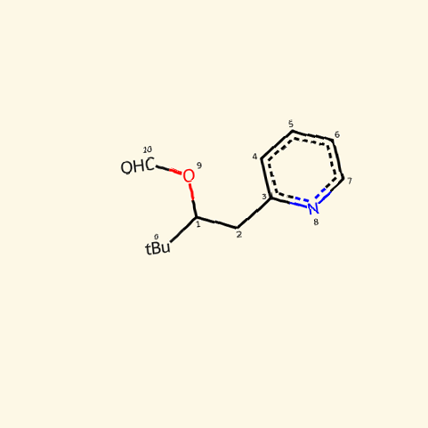 CC(C)(C)C(Cc1ccccn1)OC=O